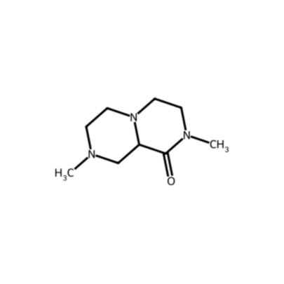 CN1CCN2CCN(C)C(=O)C2C1